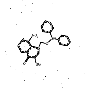 CC(C)(C)c1cn(CO[SiH](c2ccccc2)c2ccccc2)c2c([N+](=O)[O-])cccc2c1=O